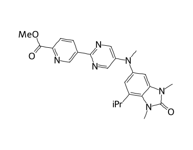 COC(=O)c1ccc(-c2ncc(N(C)c3cc(C(C)C)c4c(c3)n(C)c(=O)n4C)cn2)cn1